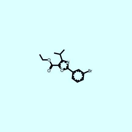 CCOC(=O)c1oc(-c2cccc(Br)c2)nc1C(C)C